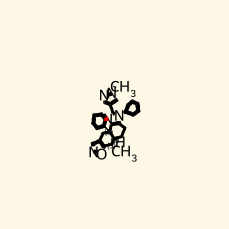 C[C@@H]1c2oncc2C[C@]2(c3ccccc3)c3nc(-c4cnn(C)c4)n(-c4ccccc4)c3CC[C@@H]12